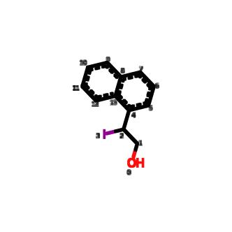 OCC(I)c1cccc2ccccc12